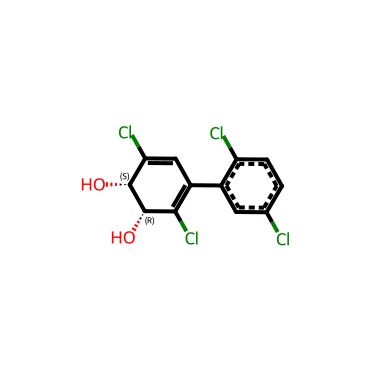 O[C@@H]1C(Cl)=CC(c2cc(Cl)ccc2Cl)=C(Cl)[C@@H]1O